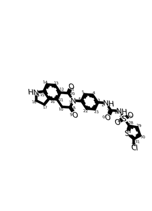 O=C(Nc1ccc(N2C(=O)Cc3c(ccc4c3CCN4)C2=O)cc1)NS(=O)(=O)c1ccc(Cl)s1